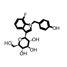 OC[C@H]1O[C@@H](c2cn(Cc3ccc(O)cc3)c3c(F)cccc23)[C@H](O)[C@@H](O)[C@@H]1O